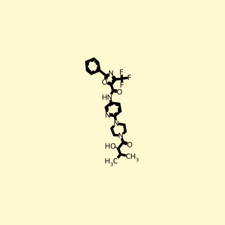 CC(C)[C@H](O)C(=O)N1CCN(c2ccc(NC(=O)c3oc(-c4ccccc4)nc3C(F)(F)F)cn2)CC1